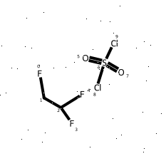 FCC(F)F.O=S(=O)(Cl)Cl